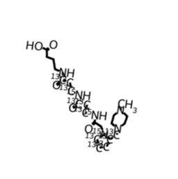 CN1CCN([13CH2][13CH]2[13CH2][13CH2][13CH2][15N]2CC(=O)[15NH][13CH2][13CH2][13C](=O)[15NH][13CH2][13CH2][13C](=O)NCCCC(=O)O)CC1